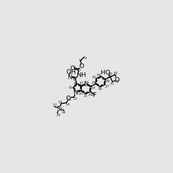 CCOC(=O)N/C(=N\O)c1cn(COCC[Si](C)(C)C)c2cc(F)c(-c3ccc(C4(O)COC4)cc3)nc12